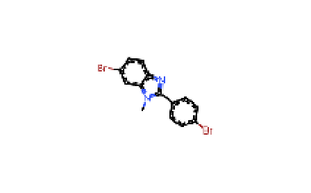 Cn1c(-c2ccc(Br)cc2)nc2ccc(Br)cc21